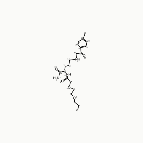 CCCOCCOCC(=O)N[C@@H](CCCNCC(=O)c1ccc(C)cc1)C(N)=O